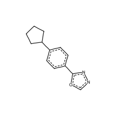 c1nnc(-c2ccc(C3CCCC3)cc2)o1